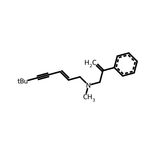 C=C(CN(C)CC=CC#CC(C)(C)C)c1ccccc1